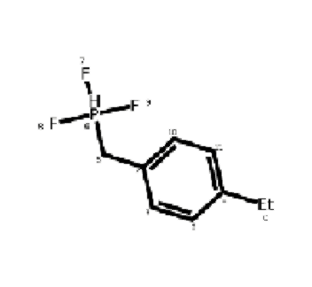 CCc1ccc(C[PH](F)(F)F)cc1